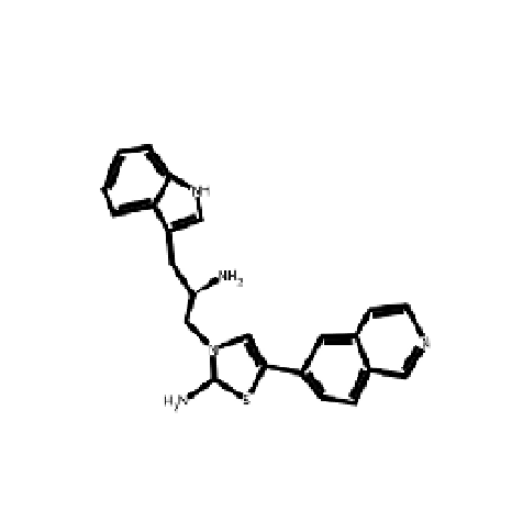 NC1SC(c2ccc3cnccc3c2)=CN1C[C@H](N)Cc1c[nH]c2ccccc12